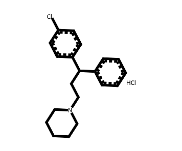 Cl.Clc1ccc(C(CCN2CCCCC2)c2ccccc2)cc1